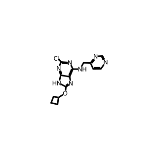 Clc1nc(NCc2ccncn2)c2nc(OC3CCC3)[nH]c2n1